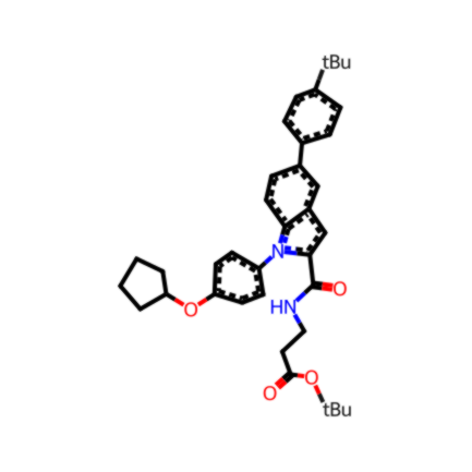 CC(C)(C)OC(=O)CCNC(=O)c1cc2cc(-c3ccc(C(C)(C)C)cc3)ccc2n1-c1ccc(OC2CCCC2)cc1